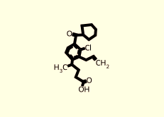 C=CCc1c(C(C)CCC(=O)O)ccc(C(=O)C2CCCCC2)c1Cl